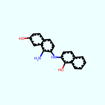 Nc1c(Nc2ccc3ccccc3c2O)ccc2ccc(O)cc12